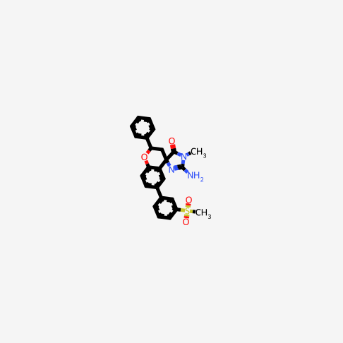 CN1C(=O)C2(CC(c3ccccc3)Oc3ccc(-c4cccc(S(C)(=O)=O)c4)cc32)N=C1N